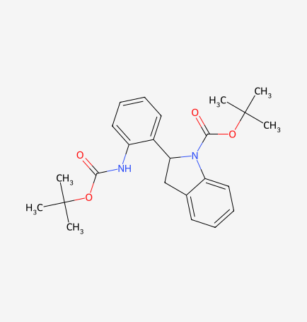 CC(C)(C)OC(=O)Nc1ccccc1C1Cc2ccccc2N1C(=O)OC(C)(C)C